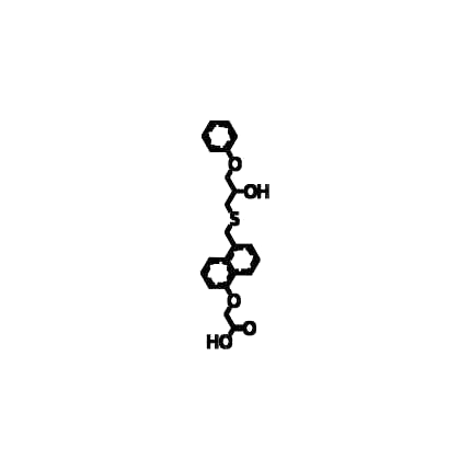 O=C(O)COc1cccc2c(CSCC(O)COc3ccccc3)cccc12